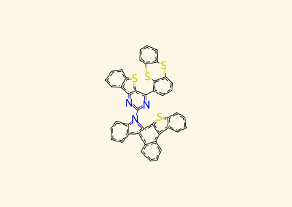 c1ccc2c(c1)Sc1cccc(-c3nc(-n4c5ccccc5c5c6ccccc6c6c7ccccc7sc6c54)nc4c3sc3ccccc34)c1S2